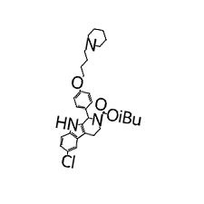 CC(C)COC(=O)N1CCc2c([nH]c3ccc(Cl)cc23)C1c1ccc(OCCCCN2CCCCC2)cc1